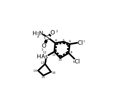 NS(=O)(=O)c1cc(Cl)c(Cl)cc1[AsH]C1CCC1